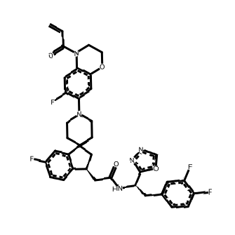 C=CC(=O)N1CCOc2cc(N3CCC4(CC3)C[C@@H](CC(=O)N[C@H](Cc3ccc(F)c(F)c3)c3nnco3)c3ccc(F)cc34)c(F)cc21